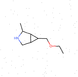 CCOCC1C2CNC(C)C21